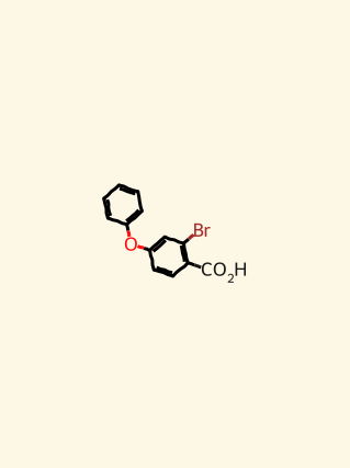 O=C(O)c1ccc(Oc2ccccc2)cc1Br